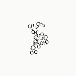 CCCCN(OCCC)C(=O)CN1C[C@H](c2ccc3c(c2)OCO3)[C@H](C(=O)O)[C@H]1CCN1C(=O)CCC1=O